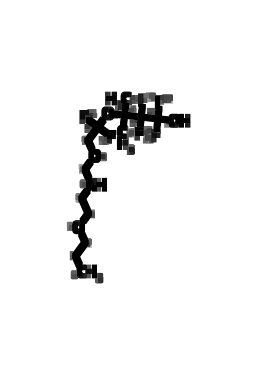 CCCOCCNCOCC(F)(F)OC(C)(C)C(F)(F)C(O)(F)F